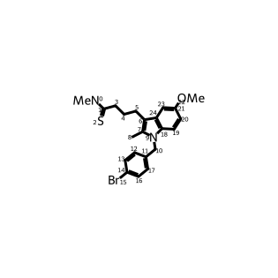 CNC(=S)CCCc1c(C)n(Cc2ccc(Br)cc2)c2ccc(OC)cc12